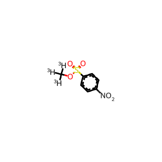 [3H]C([3H])([3H])OS(=O)(=O)c1ccc([N+](=O)[O-])cc1